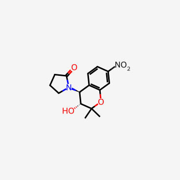 CC1(C)Oc2cc([N+](=O)[O-])ccc2[C@H](N2CCCC2=O)[C@H]1O